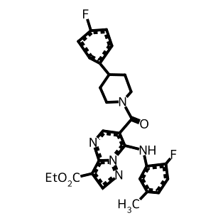 CCOC(=O)c1cnn2c(Nc3cc(C)ccc3F)c(C(=O)N3CCC(c4ccc(F)cc4)CC3)cnc12